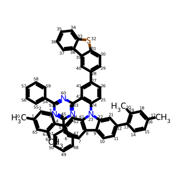 Cc1ccc(-c2ccc3c4ccc(-c5ccc(C)cc5C)cc4n(-c4ccc(-c5ccc6sc7ccccc7c6c5)cc4-c4nc(-c5ccccc5)nc(-c5ccccc5)n4)c3c2)c(C)c1